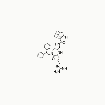 N=C(N)NCCC[C@@H]1N[C@H](CNC(=O)C2C3CC4CC5C[C@@H]2CC453)CCN(CC(c2ccccc2)c2ccccc2)C1=O